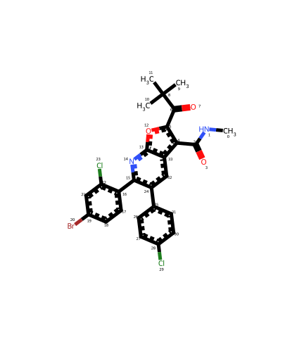 CNC(=O)c1c(C(=O)C(C)(C)C)oc2nc(-c3ccc(Br)cc3Cl)c(-c3ccc(Cl)cc3)cc12